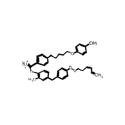 C=C/C=C\CCOOc1ccc(Cc2ccc(OC(=C)c3ccc(CCCCCOc4ccc(O)cc4)cc3)c(C)c2)cc1